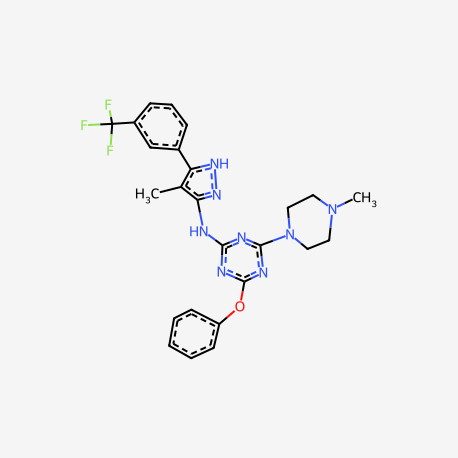 Cc1c(Nc2nc(Oc3ccccc3)nc(N3CCN(C)CC3)n2)n[nH]c1-c1cccc(C(F)(F)F)c1